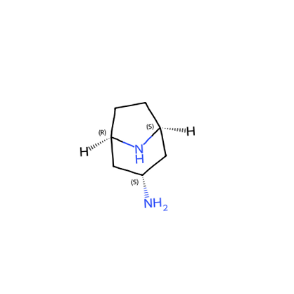 N[C@@H]1C[C@H]2CC[C@@H](C1)N2